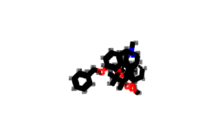 CO[C@]12CC[C@@]3(C[C@@H]1C(C)(O)C(C)(C)C)C1Cc4ccc(OCc5ccccc5)c5c4C3(CCN1C)[C@H]2O5